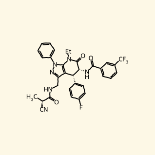 CCN1C(=O)[C@H](NC(=O)c2cccc(C(F)(F)F)c2)[C@H](c2ccc(F)cc2)c2c(CNC(=O)[C@H](C)C#N)nn(-c3ccccc3)c21